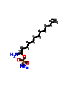 CCCCCCCCCCCC(N)OS(N)(=O)=O